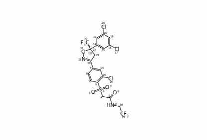 O=C(CS(=O)(=O)c1ccc(C2=NO[C@@](c3cc(Cl)cc(Cl)c3)(C(F)(F)F)C2)cc1Cl)NCC(F)(F)F